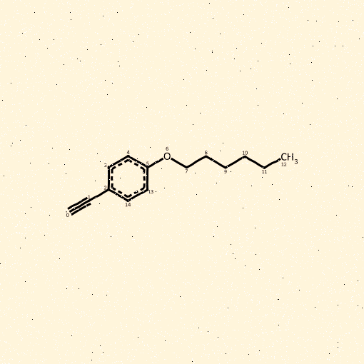 [C]#Cc1ccc(OCCCCCC)cc1